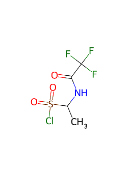 CC(NC(=O)C(F)(F)F)S(=O)(=O)Cl